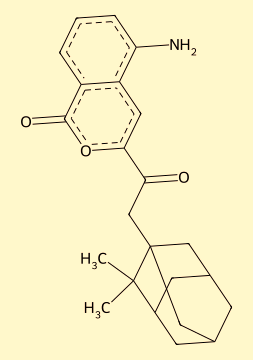 CC1(C)C2CC3CC(C2)CC1(CC(=O)c1cc2c(N)cccc2c(=O)o1)C3